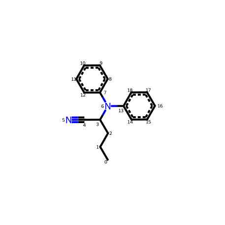 CCCC(C#N)N(c1ccccc1)c1ccccc1